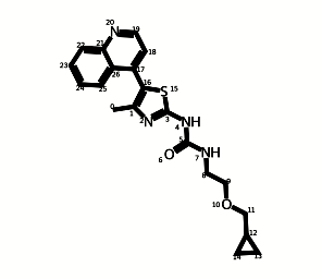 Cc1nc(NC(=O)NCCOCC2CC2)sc1-c1ccnc2ccccc12